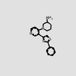 NC1CCCN(c2ccncc2-c2csc(-c3ccccc3)n2)C1